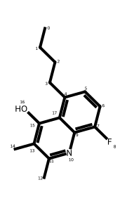 CCCCc1ccc(F)c2nc(C)c(C)c(O)c12